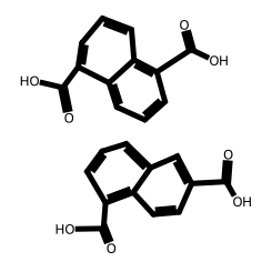 O=C(O)c1ccc2c(C(=O)O)cccc2c1.O=C(O)c1cccc2c(C(=O)O)cccc12